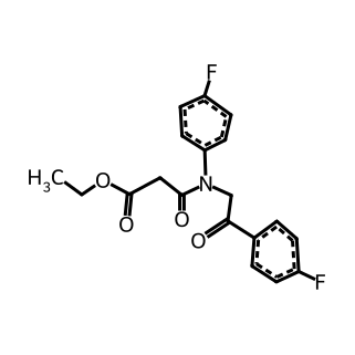 CCOC(=O)CC(=O)N(CC(=O)c1ccc(F)cc1)c1ccc(F)cc1